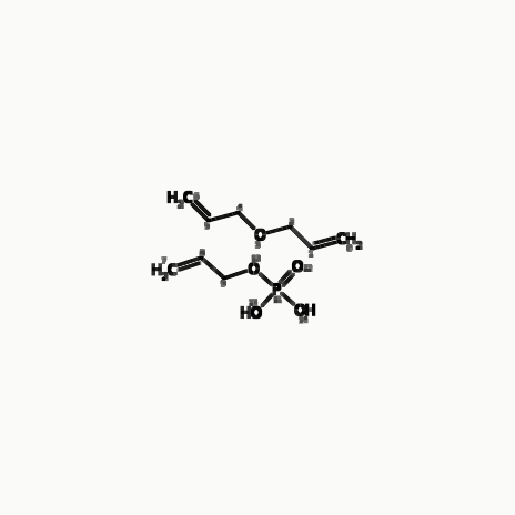 C=CCOCC=C.C=CCOP(=O)(O)O